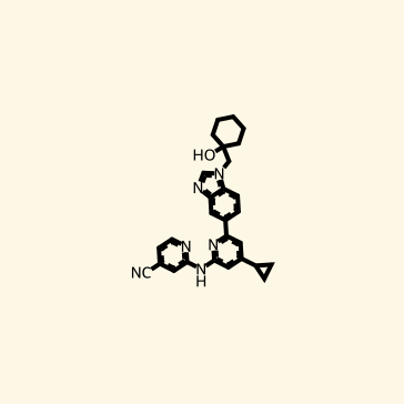 N#Cc1ccnc(Nc2cc(C3CC3)cc(-c3ccc4c(c3)ncn4CC3(O)CCCCC3)n2)c1